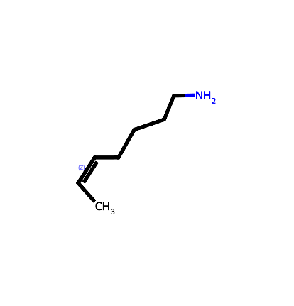 C/C=C\CCCCN